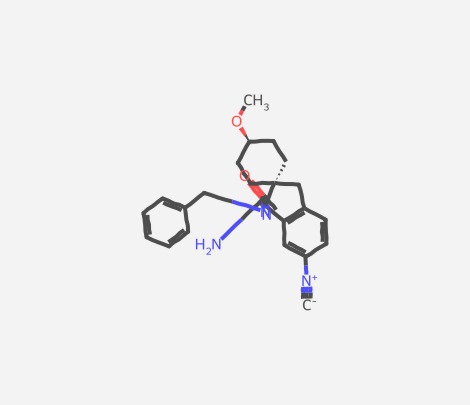 [C-]#[N+]c1ccc2c(c1)C1(N=C(N)N(Cc3ccccc3)C1=O)[C@]1(CC[C@H](OC)CC1)C2